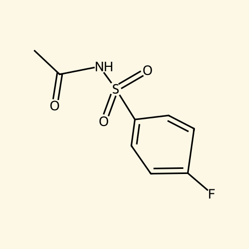 CC(=O)NS(=O)(=O)c1ccc(F)cc1